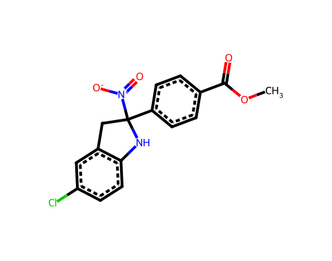 COC(=O)c1ccc(C2([N+](=O)[O-])Cc3cc(Cl)ccc3N2)cc1